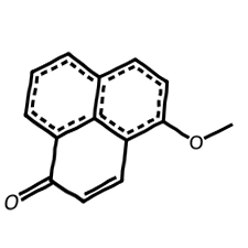 COc1ccc2cccc3c2c1C=CC3=O